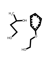 CC(O)CCO.OCCOc1ccccc1